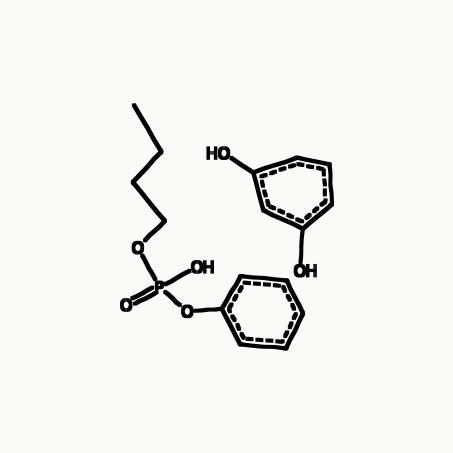 CCCCOP(=O)(O)Oc1ccccc1.Oc1cccc(O)c1